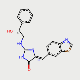 O=C1NC(NC[C@H](O)c2ccccc2)=N/C1=C\c1ccc2ncsc2c1